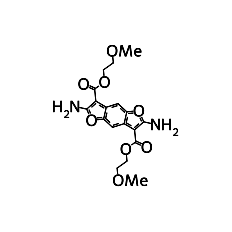 COCCOC(=O)c1c(N)oc2cc3c(C(=O)OCCOC)c(N)oc3cc12